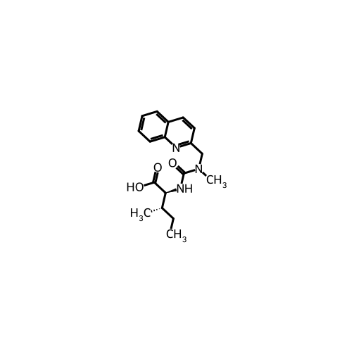 CC[C@H](C)[C@H](NC(=O)N(C)Cc1ccc2ccccc2n1)C(=O)O